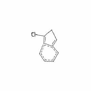 ClC1=c2ccccc2=CC1